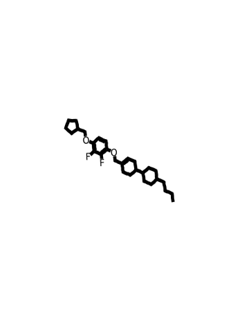 CCCCC1CCC(C2CC=C(COc3ccc(OCC4CCCC4)c(F)c3F)CC2)CC1